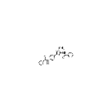 Cn1nc(-c2ccc(NC(=O)C3CCCC3)cc2)cc1NC(=O)c1ccccc1